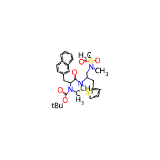 CN(C(=O)C(Cc1ccc2ccccc2c1)N(C)C(=O)OC(C)(C)C)C(Cc1cccs1)CN(C)S(C)(=O)=O